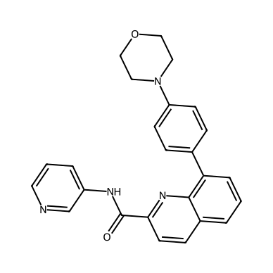 O=C(Nc1cccnc1)c1ccc2cccc(-c3ccc(N4CCOCC4)cc3)c2n1